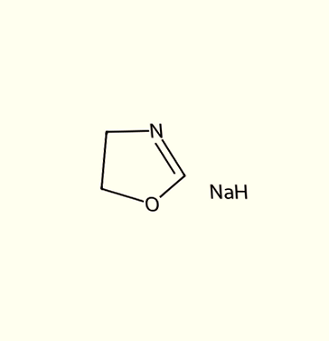 C1=NCCO1.[NaH]